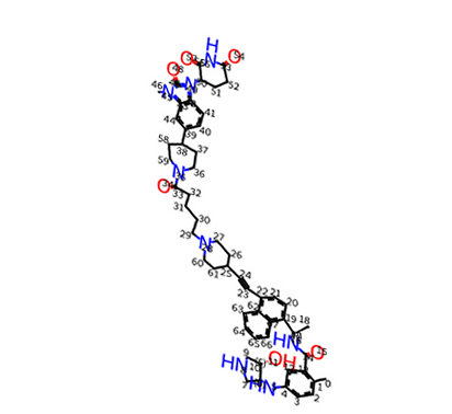 Cc1ccc(N[C@H]2CNC[C@@H]2O)cc1C(=O)N[C@H](C)c1ccc(C#CC2CCN(CCCCC(=O)N3CCC(c4ccc5c(c4)n(C)c(=O)n5C4CCC(=O)NC4=O)CC3)CC2)c2ccccc12